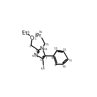 CCOCc1nc(I)c(-c2ccccc2)n1CC(C)C